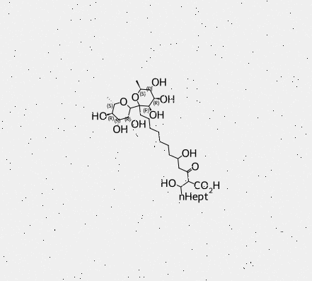 CCCCCCCC(O)C(C(=O)O)C(=O)CC(O)CCCCCCCC1(C2O[C@@H](C)[C@H](O)[C@@H](O)[C@H]2O)O[C@@H](C)[C@H](O)[C@@H](O)[C@H]1O